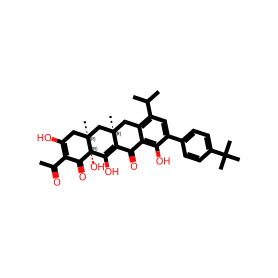 CC(=O)C1=C(O)C[C@@]2(C)C[C@@]3(C)Cc4c(C(C)C)cc(-c5ccc(C(C)(C)C)cc5)c(O)c4C(=O)C3=C(O)[C@@]2(O)C1=O